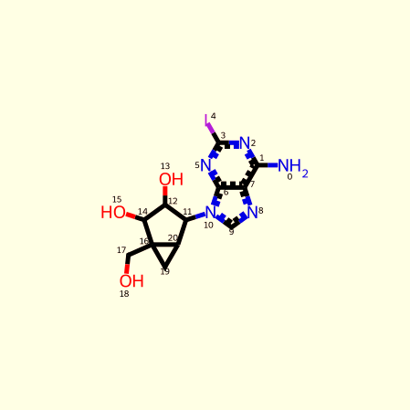 Nc1nc(I)nc2c1ncn2C1C(O)C(O)C2(CO)CC12